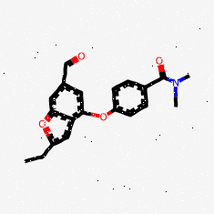 CCc1cc2c(Oc3ccc(C(=O)N(C)C)cc3)cc(C=O)cc2o1